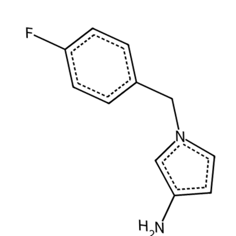 Nc1ccn(Cc2ccc(F)cc2)c1